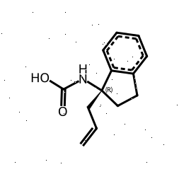 C=CC[C@]1(NC(=O)O)CCc2ccccc21